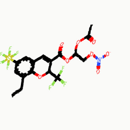 CCc1cc(S(F)(F)(F)(F)F)cc2c1OC(C(F)(F)F)C(C(=O)OC(CO[N+](=O)[O-])OC(C)=O)=C2